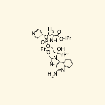 CCC[C@](O)(CCO[P@](=O)(N[C@@H](C)C(=O)OC(C)C)Oc1ccncc1)n1c(COCC)nc2c(N)nc3ccccc3c21